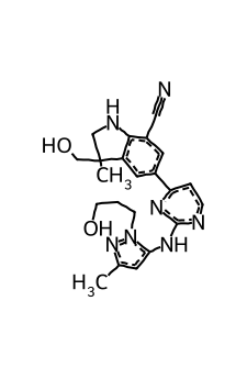 Cc1cc(Nc2nccc(-c3cc(C#N)c4c(c3)C(C)(CO)CN4)n2)n(CCCO)n1